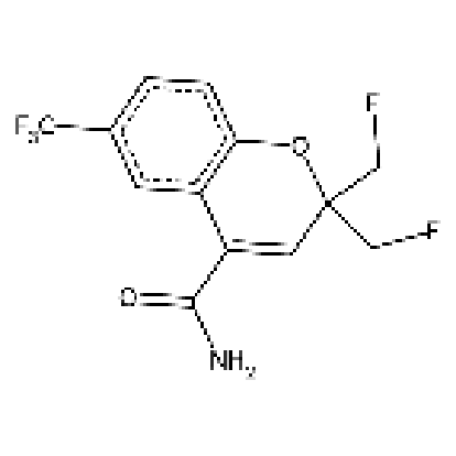 NC(=O)C1=CC(CF)(CF)Oc2ccc(C(F)(F)F)cc21